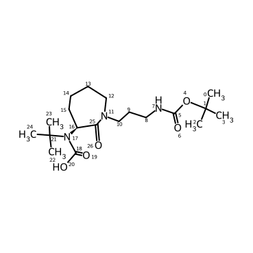 CC(C)(C)OC(=O)NCCCN1CCCC[C@H](N(C(=O)O)C(C)(C)C)C1=O